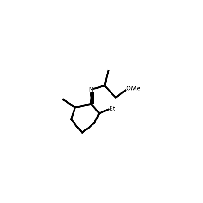 CCC1CCCC(C)C1=NC(C)COC